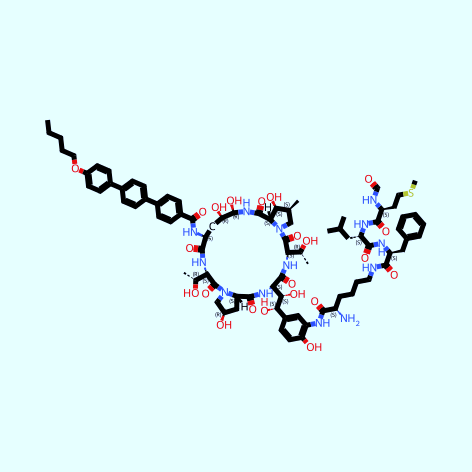 CCCCCOc1ccc(-c2ccc(-c3ccc(C(=O)N[C@H]4C[C@@H](O)[C@@H](O)NC(=O)[C@@H]5[C@@H](O)[C@@H](C)CN5C(=O)[C@H]([C@@H](C)O)NC(=O)[C@H]([C@H](O)[C@@H](O)c5ccc(O)c(NC(=O)[C@@H](N)CCCCNC(=O)[C@H](Cc6ccccc6)NC(=O)[C@H](CC(C)C)NC(=O)[C@H](CCSC)NC=O)c5)NC(=O)[C@@H]5C[C@@H](O)CN5C(=O)[C@H]([C@@H](C)O)NC4=O)cc3)cc2)cc1